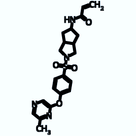 C=CC(=O)NC1CC2CN(S(=O)(=O)c3ccc(Oc4cncc(C)n4)cc3)CC2C1